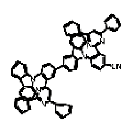 N#Cc1ccc(-n2c3ccccc3c3cc(-c4ccc(-n5c6ccccc6c6ccccc65)c(-c5cc(-c6ccccc6)nc(-c6ccccc6)n5)c4)ccc32)c(-c2nc(-c3ccccc3)cc(-c3ccccc3)n2)c1